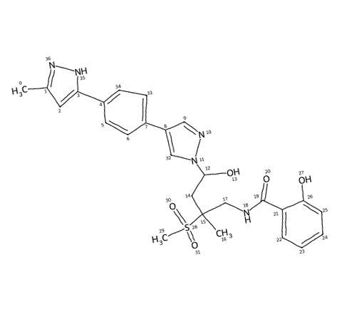 Cc1cc(-c2ccc(-c3cnn(C(O)CC(C)(CNC(=O)c4ccccc4O)S(C)(=O)=O)c3)cc2)[nH]n1